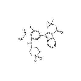 CC1(C)CC(=O)n2c(c(-c3cc(F)c(C(N)=O)c(NC4CCS(=O)(=O)CC4)c3)c3ccccc32)C1